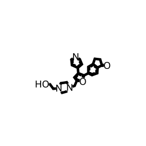 O=C1CCc2cc(-c3oc(CN4CCN(CCO)CC4)cc3-c3ccncc3)ccc21